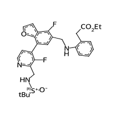 CCOC(=O)Cc1ccccc1NCc1cc(-c2ccnc(CN[S@@+]([O-])C(C)(C)C)c2F)c2occc2c1F